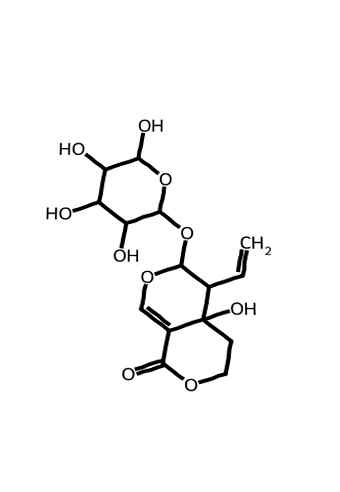 C=CC1C(OC2OC(O)C(O)C(O)C2O)OC=C2C(=O)OCCC21O